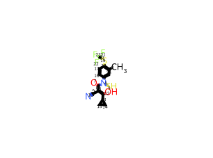 Cc1cc(N(S)C(=O)C(C#N)=C(O)C2CC2)ccc1SC(F)(F)F